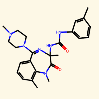 Cc1cccc(NC(=O)NC2(C)N=C(N3CCN(C)CC3)c3cccc(C)c3N(C)C2=O)c1